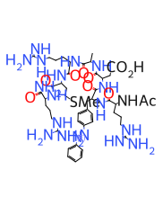 CSCCC(NC(=O)C(CCCNC(=N)N)NC(=O)C(C)NC(=O)C(CC(=O)O)NC(=O)C(Cc1ccc(/N=N/c2ccccc2)cc1)NC(=O)C(CCCNC(=N)N)NC(C)=O)C(=O)NC(CCCNC(N)N)C(N)=O